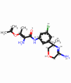 C=C(C)O/C(C)=C(\N)C(=O)Nc1cc(Br)cc([C@]2(C)COCC(N)=N2)c1